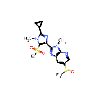 CCS(=O)(=O)c1c(-c2nc3cc([S+]([O-])C(F)(F)F)cnc3n2C)nc(C2CC2)n1C